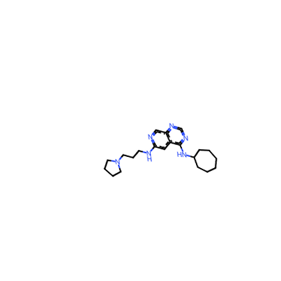 c1nc(NC2CCCCCC2)c2cc(NCCCN3CCCC3)ncc2n1